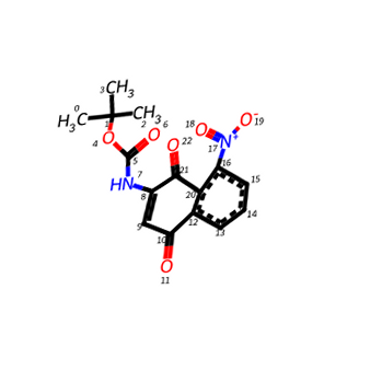 CC(C)(C)OC(=O)NC1=CC(=O)c2cccc([N+](=O)[O-])c2C1=O